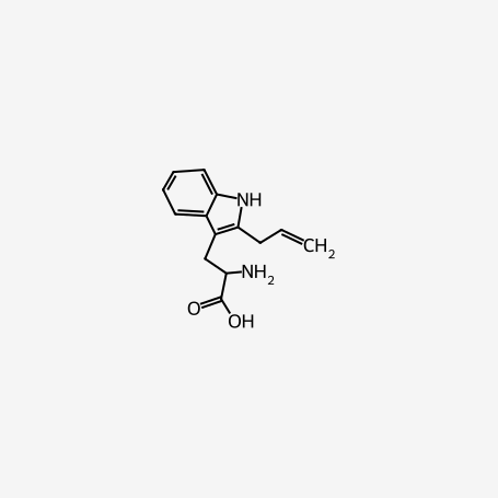 C=CCc1[nH]c2ccccc2c1CC(N)C(=O)O